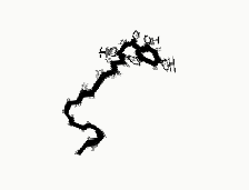 CC/C=C\C/C=C\C/C=C\CCCCCCCC1(O)CC(=O)c2c(O)cc(O)cc2O1